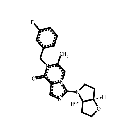 Cc1cn2c(N3CC[C@H]4OCC[C@H]43)ncc2c(=O)n1Cc1cccc(F)c1